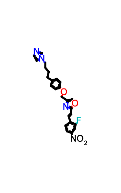 O=[N+]([O-])c1ccc(C=Cc2nc(COc3ccc(CCCCn4ccnc4)cc3)co2)c(F)c1